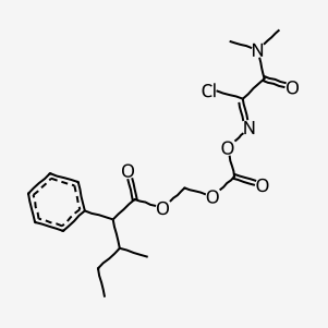 CCC(C)C(C(=O)OCOC(=O)O/N=C(\Cl)C(=O)N(C)C)c1ccccc1